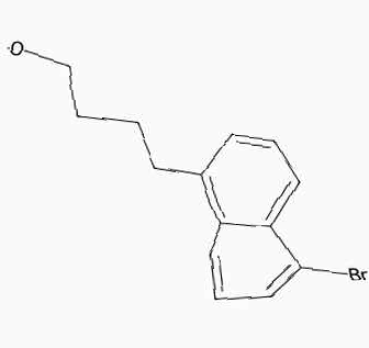 [O]CCCCc1cccc2c(Br)cccc12